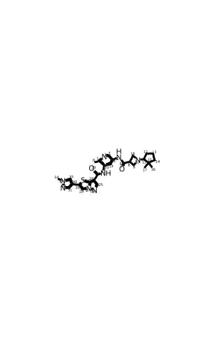 Cc1ncc(NC(=O)C2CN(C3CCCC3(C)C)C2)cc1NC(=O)c1cnn2cc(-c3cnn(C)c3)sc12